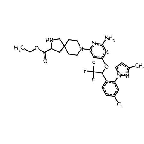 CCOC(=O)C1CC2(CCN(c3cc(OC(c4ccc(Cl)cc4-n4ccc(C)n4)C(F)(F)F)nc(N)n3)CC2)CN1